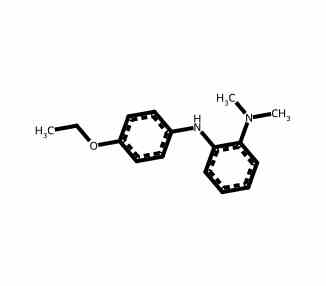 CCOc1ccc(Nc2ccccc2N(C)C)cc1